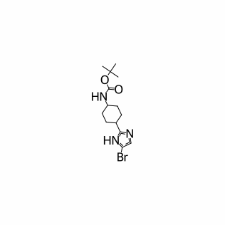 CC(C)(C)OC(=O)NC1CCC(c2ncc(Br)[nH]2)CC1